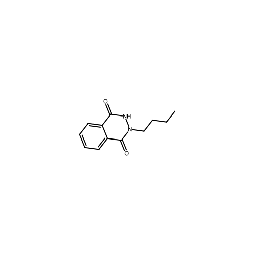 CCCCn1[nH]c(=O)c2ccccc2c1=O